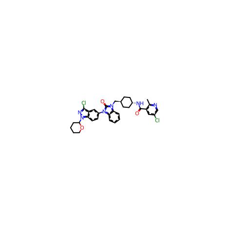 Cc1ncc(Cl)cc1C(=O)N[C@H]1CC[C@H](Cn2c(=O)n(-c3ccc4c(c3)c(Cl)nn4C3CCCCO3)c3ccccc32)CC1